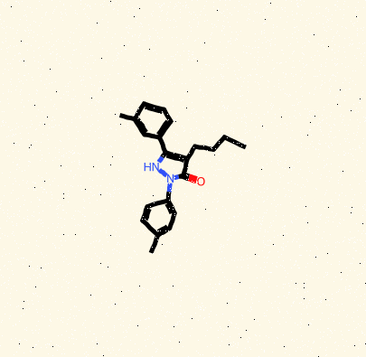 CCCCc1c(-c2cccc(C)c2)[nH]n(-c2ccc(C)cc2)c1=O